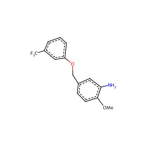 COc1ccc(COc2cccc(C(F)(F)F)c2)cc1N